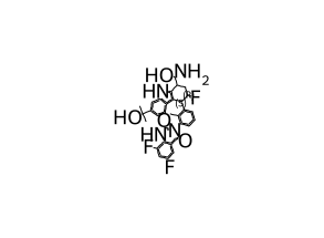 Cc1c([C@H]2c3c([nH]c4cc(C(C)(C)O)ccc34)C(C(N)O)C[C@H]2F)cccc1-n1c(=O)[nH]c2c(F)cc(F)cc2c1=O